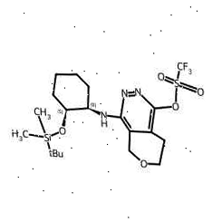 CC(C)(C)[Si](C)(C)O[C@H]1CCCC[C@H]1Nc1nnc(OS(=O)(=O)C(F)(F)F)c2c1COCC2